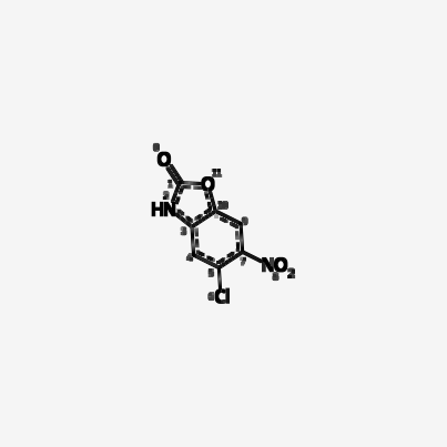 O=c1[nH]c2cc(Cl)c([N+](=O)[O-])cc2o1